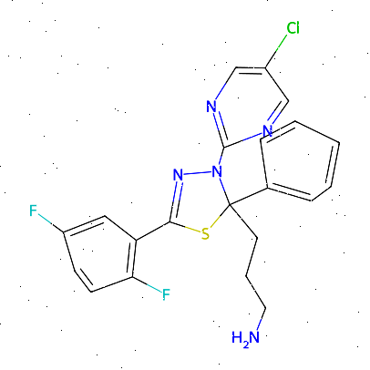 NCCCC1(c2ccccc2)SC(c2cc(F)ccc2F)=NN1c1ncc(Cl)cn1